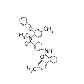 Cc1ccc(-c2ccccc2C(=O)Nc2ccc(C(=O)N(C)c3ccc(C)cc3OCc3ccccc3)cc2)cc1